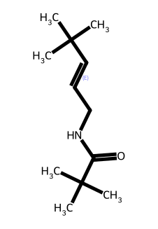 CC(C)(C)/C=C/CNC(=O)C(C)(C)C